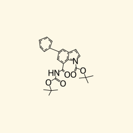 CC(C)(C)OC(=O)NC(=O)c1cc(-c2ccccc2)cc2ccn(C(=O)OC(C)(C)C)c12